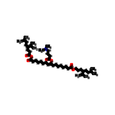 CC(C)CCC(CCCOC(=O)CCCCCCCC(CCCCCCCC(=O)OC(=O)CCC(CCC(C)C)C(C)C)OC(=O)CCCN(C)C)C(C)C